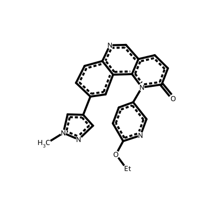 CCOc1ccc(-n2c(=O)ccc3cnc4ccc(-c5cnn(C)c5)cc4c32)cn1